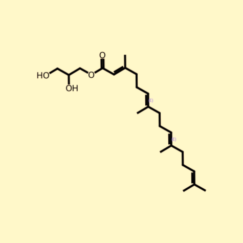 CC(C)=CCC/C(C)=C/CC/C(C)=C/CCC(C)=CC(=O)OCC(O)CO